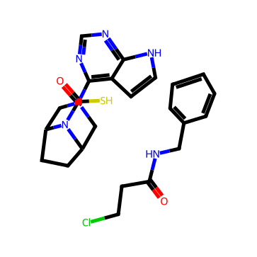 O=C(CCCl)NCc1ccccc1.O=C(S)N1C2CCC1CN(c1ncnc3[nH]ccc13)C2